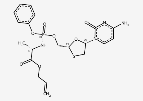 C=CCOC(=O)[C@H](C)N[P@](=O)(OC[C@@H]1O[C@H](n2ccc(N)nc2=O)CS1)Oc1ccccc1